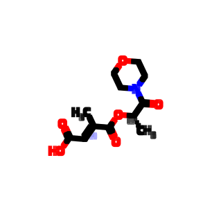 C/C(=C\C(=O)O)C(=O)O[C@@H](C)C(=O)N1CCOCC1